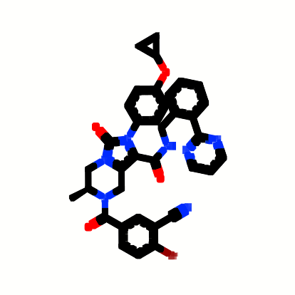 C[C@H]1Cn2c(c(C(=O)NCc3ccccc3-c3ncccn3)n(-c3ccc(OC4CC4)cc3)c2=O)CN1C(=O)c1ccc(Br)c(C#N)c1